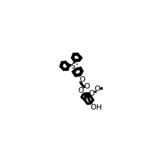 COCOC12CC3CC(O)(C1)CC(OC(=O)COc1ccc([S+](c4ccccc4)c4ccccc4)cc1)(C3)C2